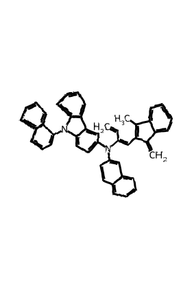 C=C/C(=C\C1=C(C)c2ccccc2C1=C)N(c1ccc2ccccc2c1)c1ccc2c(c1)c1ccccc1n2-c1cccc2ccccc12